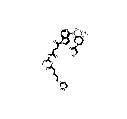 CC(OC(=O)CCCC[C@@H]1CCSS1)OC(=O)CCC(=O)n1ccc2c(N(C)[C@H]3CN(C(=O)CC#N)CC[C@H]3C)ncnc21